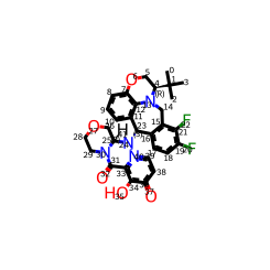 CC(C)(C)[C@@H]1COc2cccc3c2N1Cc1c(ccc(F)c1F)[C@@H]3N1[C@@H]2COCCN2C(=O)c2c(O)c(=O)ccn21